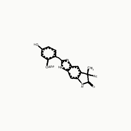 COc1cc(O)ccc1-c1nc2cc3c(cc2[nH]1)NC(=O)C3(C)C(C)=O